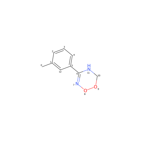 Cc1cccc(C2=NOOCN2)c1